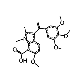 C=C(c1cc(OC)c(OC)c(OC)c1)c1c(C)n(C)c2c(C(=O)O)c(OC)ccc12